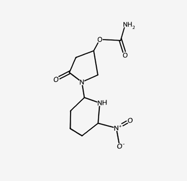 NC(=O)OC1CC(=O)N(C2CCCC([N+](=O)[O-])N2)C1